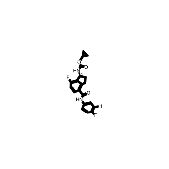 O=C(N[C@H]1CCc2c(C(=O)Nc3ccc(F)c(Cl)c3)ccc(F)c21)OC1CC1